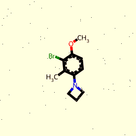 COc1ccc(N2CCC2)c(C)c1Br